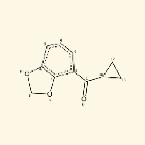 O=C(c1cccc2c1OCO2)C1CC1